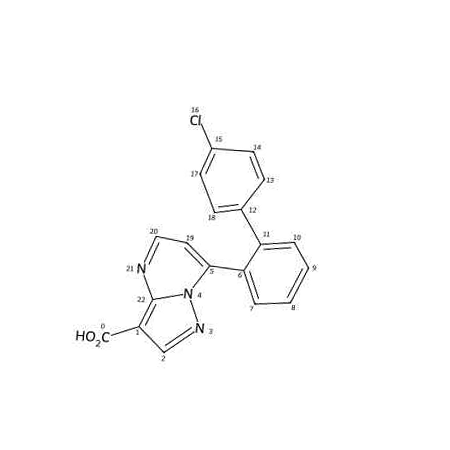 O=C(O)c1cnn2c(-c3ccccc3-c3ccc(Cl)cc3)ccnc12